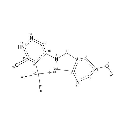 COc1cnc2c(c1)CN(c1cn[nH]c(=O)c1C(F)(F)F)C2